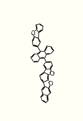 c1ccc2cc3c(cc2c1)oc1c3ccc2c3cc(-c4c5ccccc5c(-c5ccc6oc7ccccc7c6c5)c5ccccc45)ccc3oc21